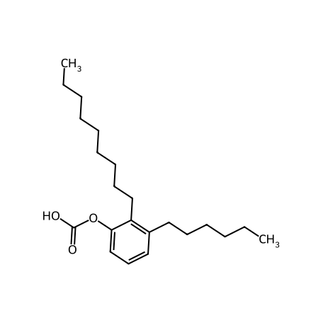 CCCCCCCCCc1c(CCCCCC)cccc1OC(=O)O